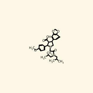 COc1ccc(C2C(C(=O)O)C(c3ccc4c(c3)OCO4)CN2CC(=O)N(CC(C)C)CC(C)C)cc1